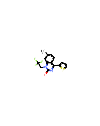 Cc1ccc2c(-c3cccs3)nc(=O)n(CC(F)(F)F)c2c1